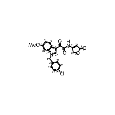 COc1ccc2c(C(=O)C(=O)NC3=CC(=O)OC3)cn(Cc3ccc(Cl)cc3)c2c1